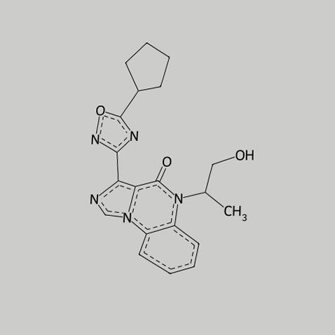 CC(CO)n1c(=O)c2c(-c3noc(C4CCCC4)n3)ncn2c2ccccc21